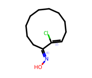 O/N=C1CCCCCCCCC\C=C\1Cl